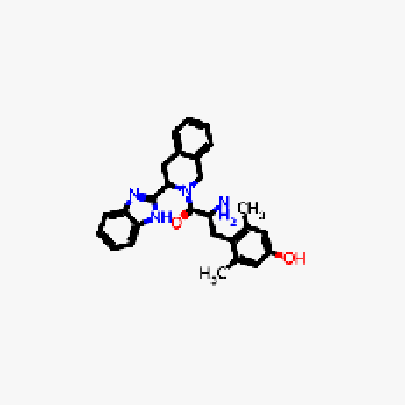 Cc1cc(O)cc(C)c1CC(N)C(=O)N1Cc2ccccc2CC1c1nc2ccccc2[nH]1